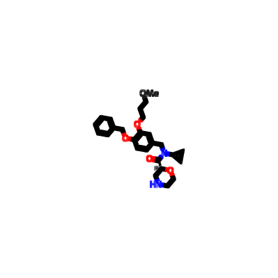 COCCCOc1cc(CN(C(=O)[C@H]2CNCCO2)C2CC2)ccc1OCc1ccccc1